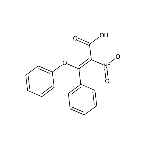 O=C(O)/C(=C(\Oc1ccccc1)c1ccccc1)[N+](=O)[O-]